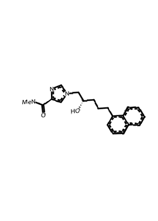 CNC(=O)c1cn(C[C@@H](O)CCCc2cccc3ccccc23)cn1